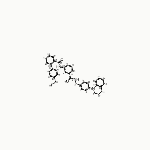 O=C(NCc1ccc(N2CCCc3ccccc32)cc1)c1cccc(NC(=O)c2ccccc2-c2ccc(CF)cc2)c1